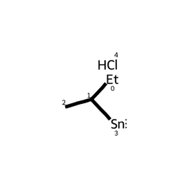 CC[CH](C)[Sn].Cl